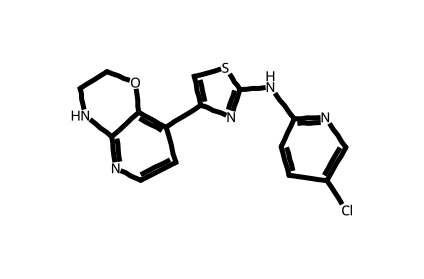 Clc1ccc(Nc2nc(-c3ccnc4c3OCCN4)cs2)nc1